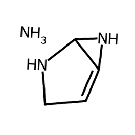 C1=C2NC2NC1.N